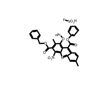 CCCOc1c(C)c(C(=O)OCc2ccccc2)c([N+](=O)[O-])c2nc3cc(C)ccc3c(C(=O)Oc3ccccc3)c12.O=S(=O)(O)F